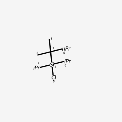 CCCC(C)(C)[Si](Cl)(C(C)C)C(C)C